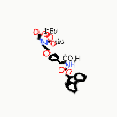 CC(C)(C)OC(=O)CN(CCOc1ccc(CC(NC(=O)OCC2c3ccccc3-c3ccccc32)C(=O)O)cc1)C(=O)OC(C)(C)C